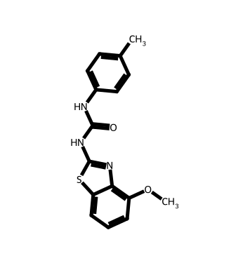 COc1cccc2sc(NC(=O)Nc3ccc(C)cc3)nc12